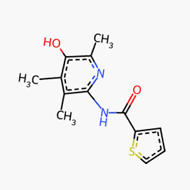 Cc1nc(NC(=O)c2cccs2)c(C)c(C)c1O